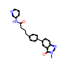 Cn1cnc2ccc(-c3ccc(CCCC(=O)Nc4cccnc4)cc3)cc2c1=O